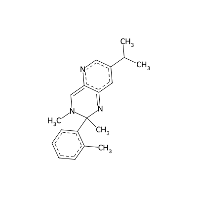 Cc1ccccc1C1(C)N=c2cc(C(C)C)cnc2=CN1C